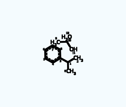 CC(C)c1ccccc1.CCO.O